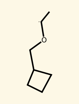 C[CH]OCC1CCC1